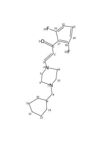 O=C(C=CN1CCN(CC2CCCCC2)CC1)c1c(F)cccc1F